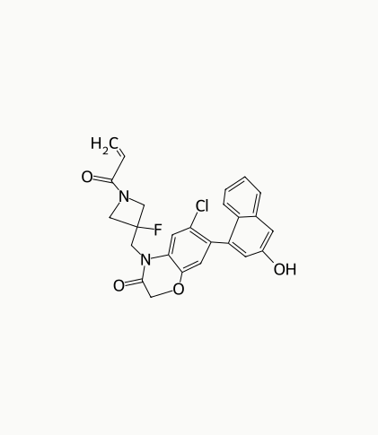 C=CC(=O)N1CC(F)(CN2C(=O)COc3cc(-c4cc(O)cc5ccccc45)c(Cl)cc32)C1